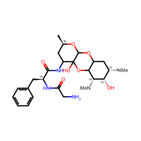 CN[C@H]1CC2OC3O[C@H](C)CC(NC(=O)[C@H](Cc4ccccc4)NC(=O)CN)C3(O)OC2[C@@H](NC)[C@H]1O